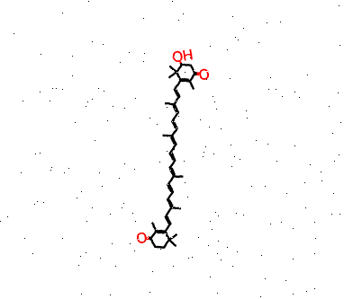 CC1=C(/C=C/C(C)=C/C=C/C(C)=C/C=C/C=C(C)/C=C/C=C(C)/C=C/C2=C(C)C(=O)CC(O)C2(C)C)C(C)(C)CCC1=O